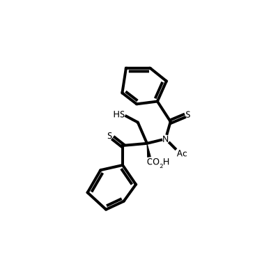 CC(=O)N(C(=S)c1ccccc1)[C@](CS)(C(=O)O)C(=S)c1ccccc1